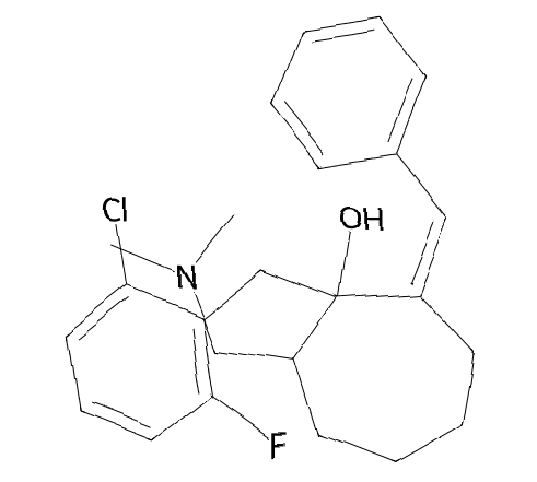 CN(C)CC1CCCC/C(=C/c2ccccc2)C1(O)Cc1c(F)cccc1Cl